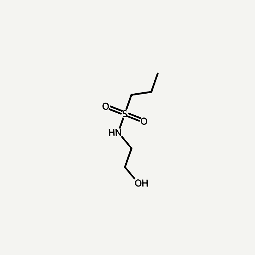 CCCS(=O)(=O)NCCO